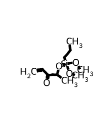 C=CC(=O)C(C)O[Si](CCC)(OC)OC